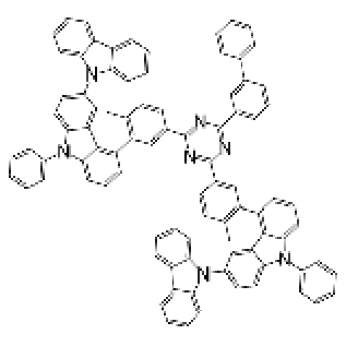 Cc1ccc(-c2nc(-c3cccc(-c4ccccc4)c3)nc(-c3ccc(C)c(-c4cccc5c4c4cc(-n6c7ccccc7c7ccccc76)ccc4n5-c4ccccc4)c3)n2)cc1-c1cccc2c1c1cc(-n3c4ccccc4c4ccccc43)ccc1n2-c1ccccc1